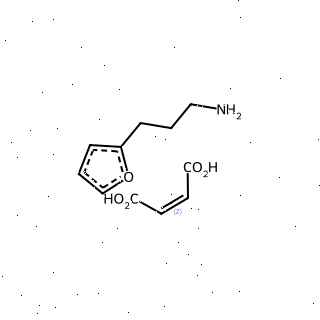 NCCCc1ccco1.O=C(O)/C=C\C(=O)O